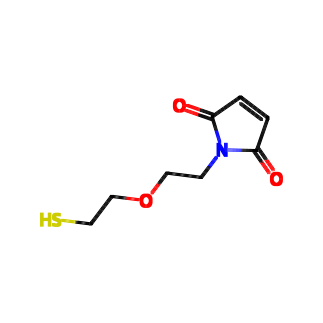 O=C1C=CC(=O)N1CCOCCS